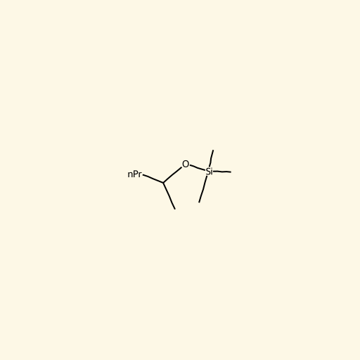 CCCC(C)O[Si](C)(C)C